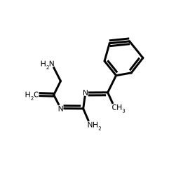 C=C(CN)/N=C(N)\N=C(/C)c1cc#ccc1